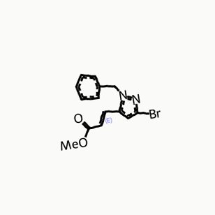 COC(=O)/C=C/c1cc(Br)nn1Cc1ccccc1